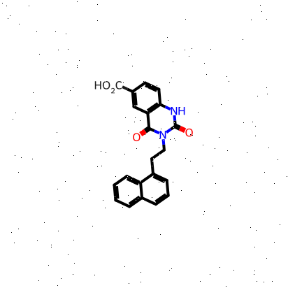 O=C(O)c1ccc2[nH]c(=O)n(CCc3cccc4ccccc34)c(=O)c2c1